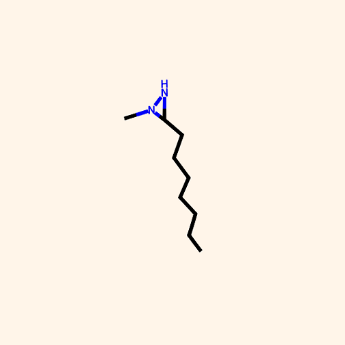 CCCCCCCC1NN1C